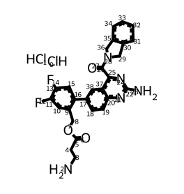 Cl.Cl.NCCC(=O)OCc1cc(F)c(F)cc1-c1ccc2nc(N)nc(C(=O)N3Cc4ccccc4C3)c2c1